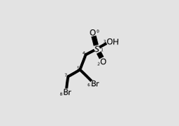 O=S(=O)(O)CC(Br)CBr